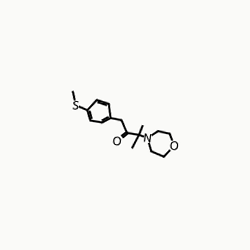 CSc1ccc(CC(=O)C(C)(C)N2CCOCC2)cc1